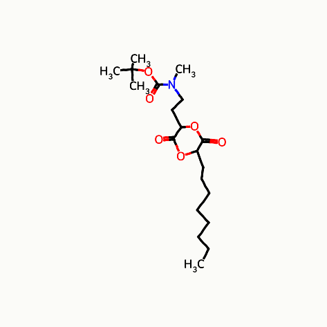 CCCCCCCCC1OC(=O)C(CCN(C)C(=O)OC(C)(C)C)OC1=O